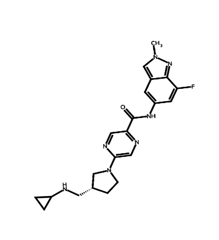 Cn1cc2cc(NC(=O)c3cnc(N4CC[C@H](CNC5CC5)C4)cn3)cc(F)c2n1